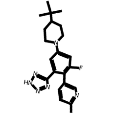 Cc1ccc(-c2c(F)cc(N3CCC(C(C)(C)C)CC3)cc2-c2nn[nH]n2)cn1